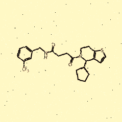 O=C(CCC(=O)N1CCc2sccc2C1C1CCCC1)NCc1cccc(C(F)(F)F)c1